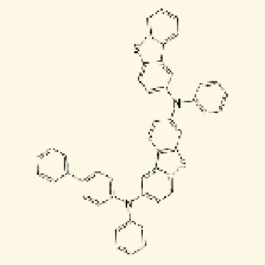 c1ccc(-c2ccc(N(c3ccccc3)c3ccc4sc5cc(N(c6ccccc6)c6ccc7sc8ccccc8c7c6)ccc5c4c3)cc2)cc1